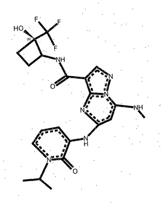 CNc1cc(Nc2cccn(C(C)C)c2=O)nc2c(C(=O)NC3CC[C@]3(O)C(F)(F)F)cnn12